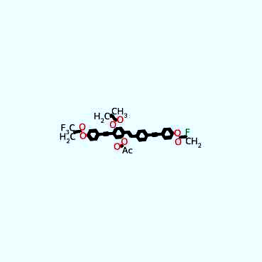 C=C(C)C(=O)Oc1cc(/C=C/c2ccc(C#Cc3ccc(OC(=O)C(=C)F)cc3)cc2)c(OC(=O)C(C)=O)cc1C#Cc1ccc(OC(=O)C(=C)C(F)(F)F)cc1